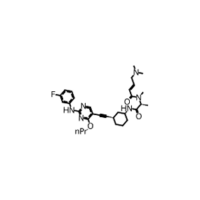 CCCOc1nc(Nc2cccc(F)c2)ncc1C#C[C@@H]1CCC[C@H](NC(=O)[C@H](C)N(C)C(=O)/C=C/CN(C)C)C1